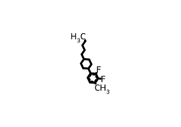 CCCCCC1CCC(c2ccc(C)c(F)c2F)CC1